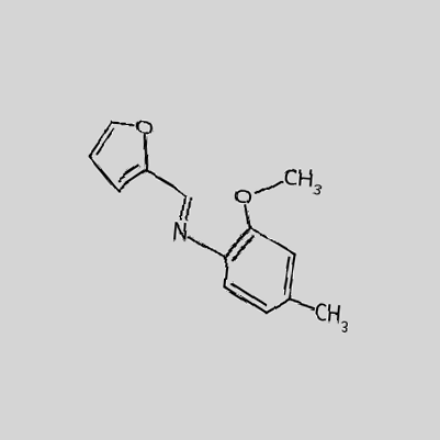 COc1cc(C)ccc1N=Cc1ccco1